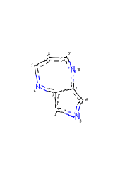 c1cnc2cncc-2nc1